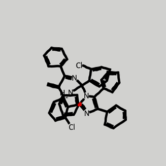 C=C(/C(=N\C(N)(c1ccccc1Cl)n1c(-c2ccccc2Cl)nc(-c2ccccc2)c1-c1ccccc1)c1ccccc1)c1ccccc1